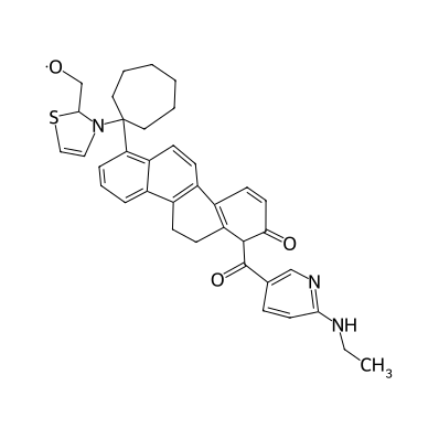 CCNc1ccc(C(=O)C2C(=O)C=CC3=C2CCc2c3ccc3c(C4(N5C=CSC5C[O])CCCCCC4)cccc23)cn1